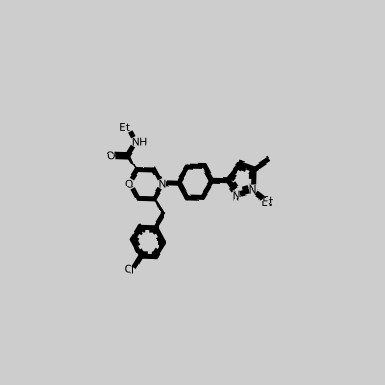 CCNC(=O)[C@H]1CN(C2CCC(c3cc(C)n(CC)n3)CC2)[C@@H](Cc2ccc(Cl)cc2)CO1